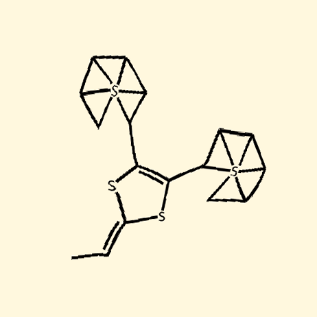 CC=C1SC(C2C3C4C5C6CS62534)=C(C2C3C4C5C6CS62534)S1